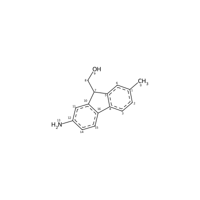 Cc1ccc2c(c1)C(CO)c1cc(N)ccc1-2